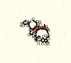 CC[C@H]1OC(=O)[C@H](C)[C@@H](O[C@H]2C[C@@](C)(OC)[C@@H](OC(=O)N[C@H]3CCN(C4=C5NC(=O)/C(C)=C\C=C\[C@H](C)[C@H](O)[C@@H](C)[C@@H](O)[C@@H](C)[C@H](OC(C)=O)[C@H](C)[C@@H](OC)/C=C/O[C@@]6(C)Oc7c(C)c(O)c(c(c7C6=O)C4=O)C5=O)C3)[C@H](C)O2)[C@H](C)[C@@H](O[C@@H]2O[C@H](C)C[C@H](N(C)C)[C@H]2O)[C@](C)(OC)CCC(=O)[C@H](C)[C@@H](O)[C@@H]1O